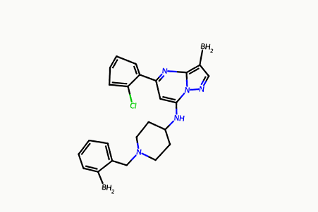 Bc1ccccc1CN1CCC(Nc2cc(-c3ccccc3Cl)nc3c(B)cnn23)CC1